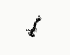 CCc1cc(Nc2ncc(Br)c(Nc3ccc4nccnc4c3P(C)(C)=O)n2)c(OC)cc1N1CCC(N2CCN(C3CCC(c4ccc(C5CCC(=O)NC5=O)c(F)c4)C3)CC2)CC1